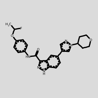 CC(F)Oc1ccc(NC(=O)c2n[nH]c3ccc(-c4cnn(C5CCOCC5)c4)cc23)cc1